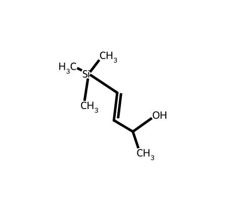 CC(O)/C=C/[Si](C)(C)C